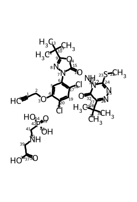 C#CCOc1cc(-n2nc(C(C)(C)C)oc2=O)c(Cl)cc1Cl.CSc1nnc(C(C)(C)C)c(=O)n1N.O=C(O)CNCP(=O)(O)O